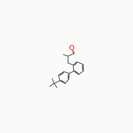 CC(C=O)Cc1ccccc1-c1ccc(C(C)(C)C)cc1